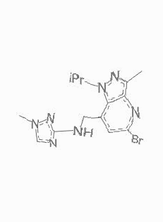 Cc1nn(C(C)C)c2c(CNc3ncn(C)n3)cc(Br)nc12